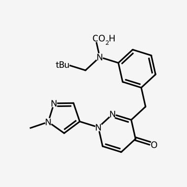 Cn1cc(-n2ccc(=O)c(Cc3cccc(N(CC(C)(C)C)C(=O)O)c3)n2)cn1